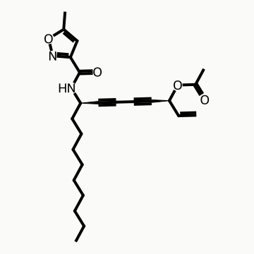 C=C[C@@H](C#CC#C[C@@H](CCCCCCCCC)NC(=O)c1cc(C)on1)OC(C)=O